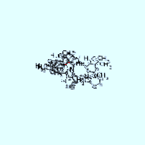 CC(C)(C)C1=CC2=C3C(Bc4ccc5c(c4N(c4c(C6=CC=CCC6)cc(C(C)(C)C)cc4-c4ccccc4)c4cc(Cl)cc(c4)N3C3(C)CCCCC23C)-c2ccc(C(C)(C)C)cc2C5(C)C)C1